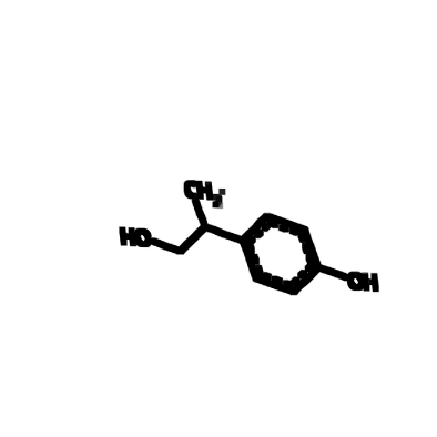 [CH2]C(CO)c1ccc(O)cc1